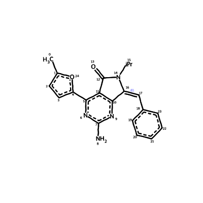 Cc1ccc(-c2nc(N)nc3c2C(=O)N(C(C)C)/C3=C/c2ccccc2)o1